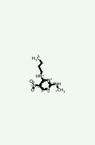 CCCCNc1nc(NC)ncc1[N+](=O)[O-]